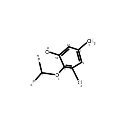 Cc1cc(Cl)c(OC(F)F)c(Cl)c1